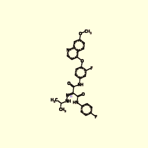 COc1ccc2c(Oc3ccc(NC(=O)/C(=N/NC(C)C)C(=O)Nc4ccc(F)cc4)cc3F)ccnc2c1